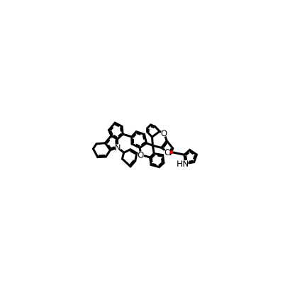 C1=CCC(n2c3c(c4cccc(-c5ccc6c(c5)Oc5ccccc5C65C6=C(C=C(c7ccc[nH]7)CC6)OC6C=CC=CC65)c42)CCC=C3)C=C1